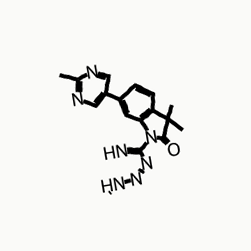 CN/N=N\C(=N)N1C(=O)C(C)(C)c2ccc(-c3cnc(C)nc3)cc21